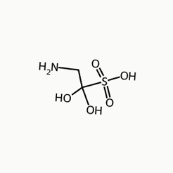 NCC(O)(O)S(=O)(=O)O